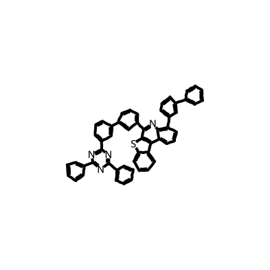 c1ccc(-c2cccc(-c3cccc4c3nc(-c3cccc(-c5cccc(-c6nc(-c7ccccc7)nc(-c7ccccc7)n6)c5)c3)c3sc5ccccc5c34)c2)cc1